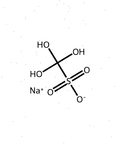 O=S(=O)([O-])C(O)(O)O.[Na+]